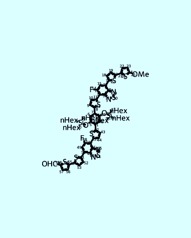 CCCCCC[Si](CCCCCC)(CCCCCC)Oc1cc(-c2ccc(-c3c(F)cc(-c4ccc(-c5ccc(OC)s5)s4)c4nsnc34)s2)c(O[Si](CCCCCC)(CCCCCC)CCCCCC)cc1-c1ccc(-c2c(F)cc(-c3ccc(-c4ccc(C=O)s4)s3)c3nsnc23)s1